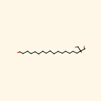 CC(=O)NC(CO)(CO)CCCCCCCCCCCCCCCCO